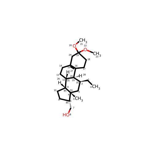 CC[C@H]1C[C@]2(C)[C@H](CO)CC[C@@H]2[C@@H]2CCC3=C(CCC(OC)(OC)C3)[C@@H]12